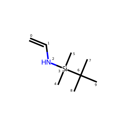 C=CN[Si](C)(C)C(C)(C)C